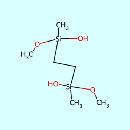 CO[Si](C)(O)CC[Si](C)(O)OC